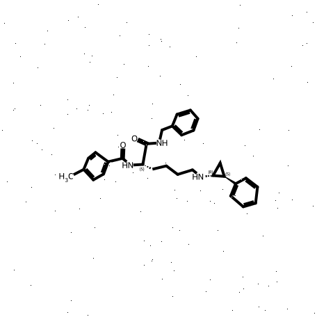 Cc1ccc(C(=O)N[C@@H](CCCCN[C@@H]2C[C@H]2c2ccccc2)C(=O)NCc2ccccc2)cc1